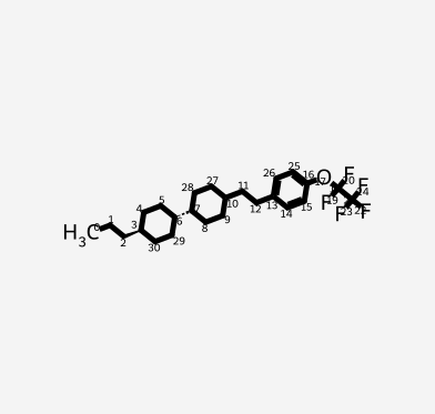 CCC[C@H]1CC[C@H](C2CCC(CCc3ccc(OC(F)(F)C(F)(F)F)cc3)CC2)CC1